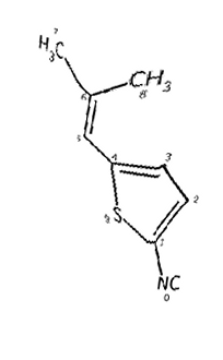 [C-]#[N+]c1ccc(C=C(C)C)s1